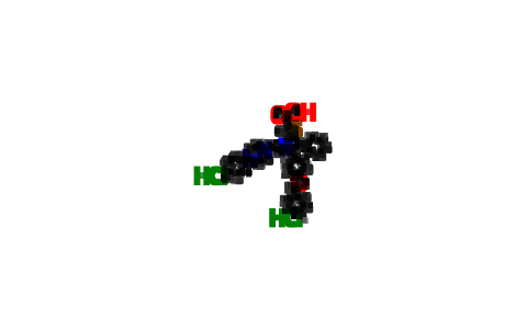 Cl.Cl.O=C(O)c1cc2c(s1)c(C1CCCCC1)c(-c1ccc(OCc3ccccc3)cc1)n2CCN1CCN(C2CCCCC2)CC1